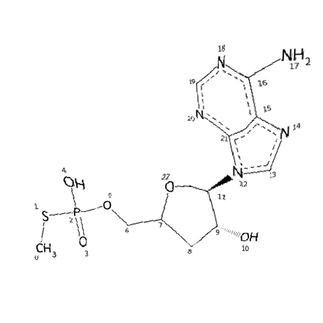 CSP(=O)(O)OCC1C[C@@H](O)[C@H](n2cnc3c(N)ncnc32)O1